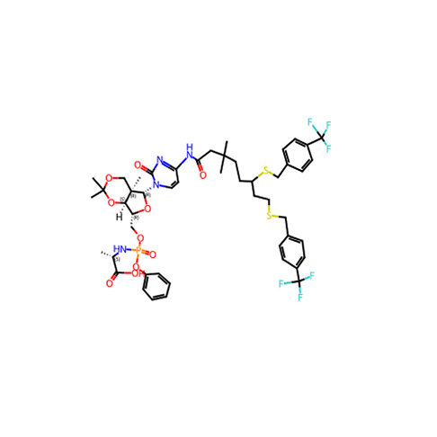 C[C@H](NP(=O)(OC[C@H]1O[C@@H](n2ccc(NC(=O)CC(C)(C)CCC(CCSCc3ccc(C(F)(F)F)cc3)SCc3ccc(C(F)(F)F)cc3)nc2=O)[C@]2(C)COC(C)(C)O[C@H]12)Oc1ccccc1)C(=O)O